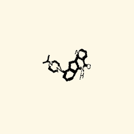 CC(C)N1CCN(c2cccc3c2Cc2c-3[nH]c(=O)c3cccnc23)CC1